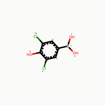 OB(O)c1cc(Cl)c(O)c(Cl)c1